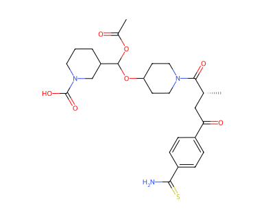 CC(=O)OC(OC1CCN(C(=O)[C@H](C)CC(=O)c2ccc(C(N)=S)cc2)CC1)C1CCCN(C(=O)O)C1